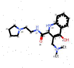 CCN(CC)CC1=C(O)c2ccccc2NC1C(=O)NCCN1CCCC1